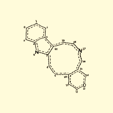 c1ccc2c(c1)nc1ccc3ccocc3cnccc12